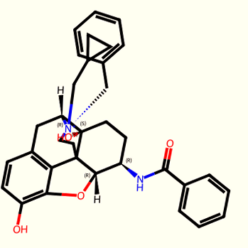 O=C(N[C@@H]1CC[C@@]2(O)[C@H]3Cc4ccc(O)c5c4C2(CC[N@+]3(Cc2ccccc2)CC2CC2)[C@H]1O5)c1ccccc1